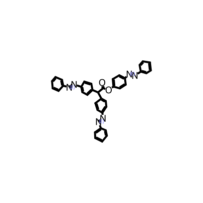 O=C(Oc1ccc(/N=N/c2ccccc2)cc1)C(c1ccc(/N=N/c2ccccc2)cc1)c1ccc(/N=N/c2ccccc2)cc1